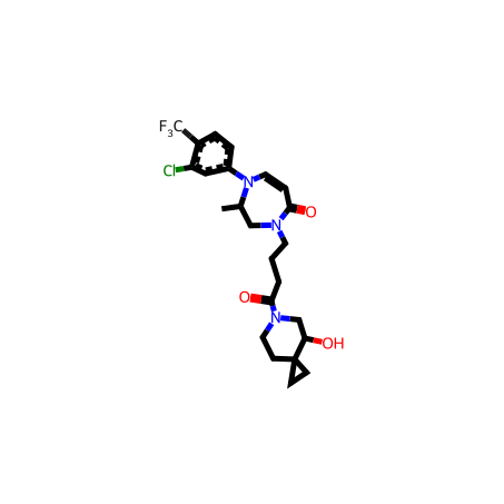 CC1CN(CCCC(=O)N2CCC3(CC3)C(O)C2)C(=O)C=CN1c1ccc(C(F)(F)F)c(Cl)c1